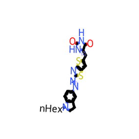 CCCCCCN1CCc2cc(/N=N/c3nc4sc(/C=C5\NC(=O)NC5=O)cc4s3)ccc21